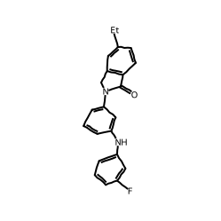 CCc1ccc2c(c1)CN(c1cccc(Nc3cccc(F)c3)c1)C2=O